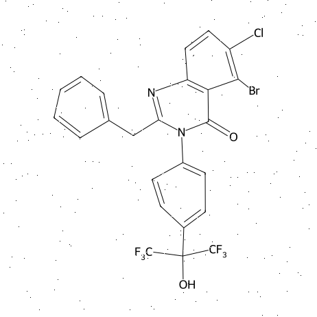 O=c1c2c(Br)c(Cl)ccc2nc(Cc2ccccc2)n1-c1ccc(C(O)(C(F)(F)F)C(F)(F)F)cc1